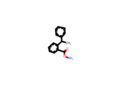 CC(c1ccccc1)c1ccccc1C(=O)ON